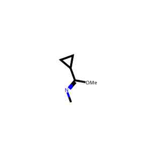 C/N=C(\OC)C1CC1